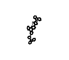 c1cc(-c2ccc3c4ccc(-c5ccc(-n6c7ccccc7c7ccccc76)cn5)cc4c4ccccc4c3c2)cc(-n2c3ccccc3c3ccccc32)c1